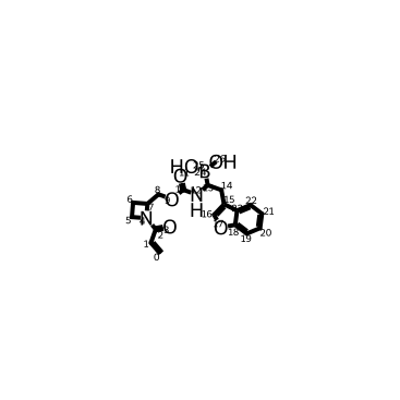 C=CC(=O)N1CCC1COC(=O)NC(Cc1coc2ccccc12)B(O)O